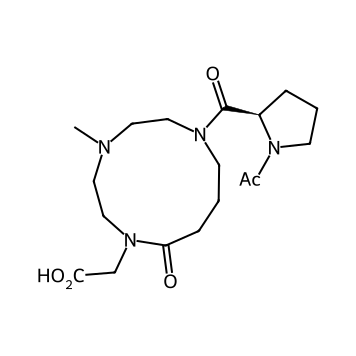 CC(=O)N1CCC[C@@H]1C(=O)N1CCCC(=O)N(CC(=O)O)CCN(C)CC1